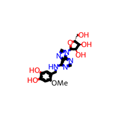 COc1cc(O)c(O)cc1CNc1ncnc2c1ncn2C1O[C@H](CO)[C@@H](O)[C@H]1O